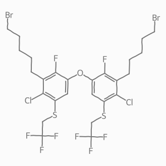 Fc1c(Oc2cc(SCC(F)(F)F)c(Cl)c(CCCCCBr)c2F)cc(SCC(F)(F)F)c(Cl)c1CCCCCBr